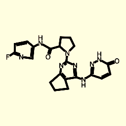 O=C(Nc1ccc(F)nc1)C1CCCN1c1nc2c(c(Nc3ccc(=O)[nH]n3)n1)CCC2